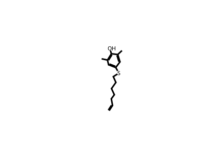 C=CCCCCCSc1cc(C)c(O)c(C)c1